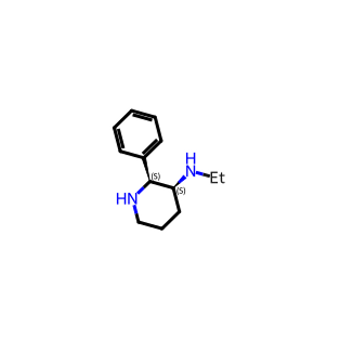 CCN[C@H]1CCCN[C@H]1c1ccccc1